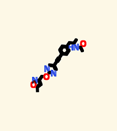 CC(=O)NC(C)Cc1ccc(C#Cc2cnc(OCc3cc(C)on3)nc2)cc1